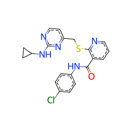 O=C(Nc1ccc(Cl)cc1)c1cccnc1SCc1ccnc(NC2CC2)n1